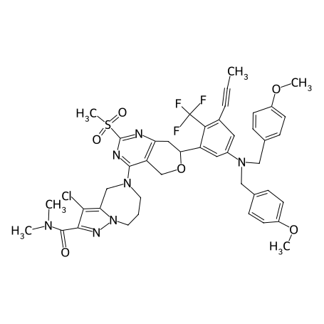 CC#Cc1cc(N(Cc2ccc(OC)cc2)Cc2ccc(OC)cc2)cc(C2Cc3nc(S(C)(=O)=O)nc(N4CCCn5nc(C(=O)N(C)C)c(Cl)c5C4)c3CO2)c1C(F)(F)F